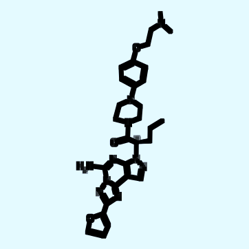 CCC[C@H](C(=O)N1CCN(c2ccc(OCCN(C)C)cc2)CC1)n1ncc2c1nc(N)n1nc(-c3ccco3)nc21